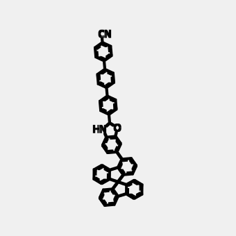 N#Cc1ccc(-c2ccc(-c3ccc(C4Nc5ccc(-c6cccc7c6-c6ccccc6C76c7ccccc7-c7ccccc76)cc5O4)cc3)cc2)cc1